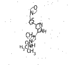 CCC1C=C(c2c[nH]c3ncc(-c4ccc(CN5CCOCC5)s4)cc23)CCN1C(=O)NC(C)C